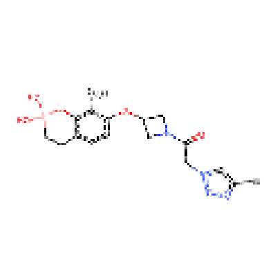 CCc1cn(CC(=O)N2CC(Oc3ccc4c(c3C(=O)O)O[B-](O)(O)CC4)C2)nn1